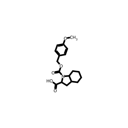 COc1ccc(COC(=O)N2C(C(=O)O)CC3CCCCC32)cc1